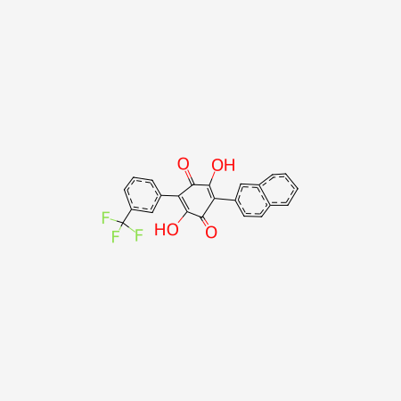 O=C1C(O)=C(c2ccc3ccccc3c2)C(=O)C(O)=C1c1cccc(C(F)(F)F)c1